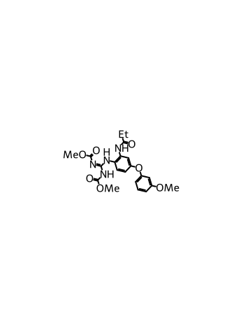 CCC(=O)Nc1cc(Oc2cccc(OC)c2)ccc1NC(=NC(=O)OC)NC(=O)OC